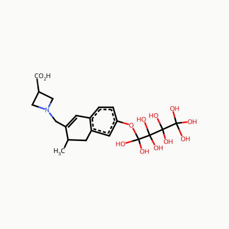 CC1Cc2cc(OC(O)(O)C(O)(O)C(O)(O)C(O)(O)O)ccc2C=C1CN1CC(C(=O)O)C1